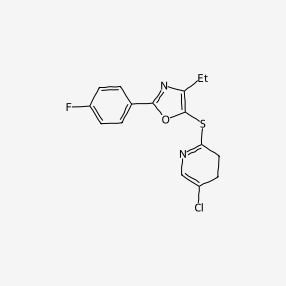 CCc1nc(-c2ccc(F)cc2)oc1SC1=NC=C(Cl)CC1